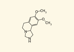 COc1cc2c(cc1OC)C1CNCN1CC2